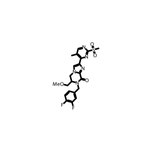 COCC1Cn2cc(-c3nc(S(C)(=O)=O)ncc3C)nc2C(=O)N1Cc1ccc(F)c(F)c1